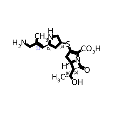 C/C(=C\[C@@H]1C[C@H](SC2=C(C(=O)O)N3C(=O)[C@H]([C@@H](C)O)[C@H]3C2)CN1)CN